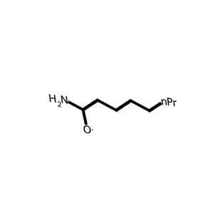 CCCCCCCC(N)[O]